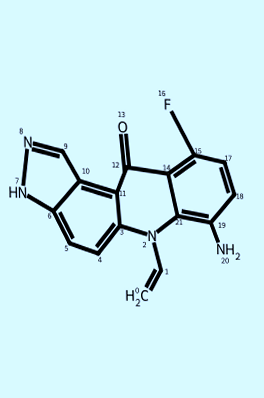 C=Cn1c2ccc3[nH]ncc3c2c(=O)c2c(F)ccc(N)c21